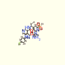 CC[C@H](NC(=O)c1cncc2c1cnn2-c1ccc(F)cc1)c1cc(N(C)C(N)=O)nc(S(C)(=O)=O)c1